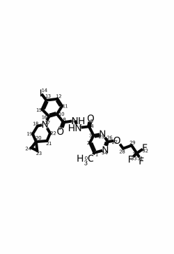 Cc1cc(C(=O)NNC(=O)c2ccc(I)cc2N2CCC3(CC2)CC3)nc(OCCC(F)(F)F)n1